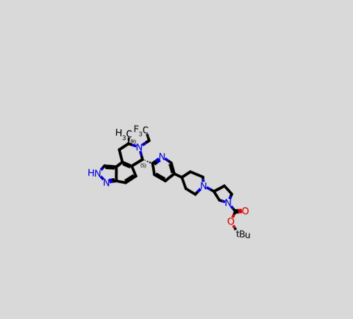 C[C@@H]1Cc2c(ccc3n[nH]cc23)[C@@H](c2ccc(C3CCN(C4CCN(C(=O)OC(C)(C)C)C4)CC3)cn2)N1CC(F)(F)F